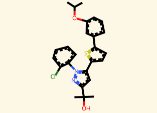 CC(C)Oc1cccc(-c2ccc(-c3cc(C(C)(C)O)nn3-c3ccccc3Cl)s2)c1